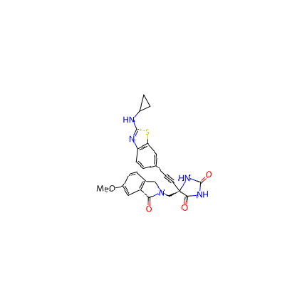 COc1ccc2c(c1)C(=O)N(C[C@@]1(C#Cc3ccc4nc(NC5CC5)sc4c3)NC(=O)NC1=O)C2